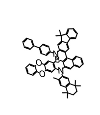 Cc1cc2c(cc1N1c3cc4c(cc3B3c5c1cc1ccccc1c5-c1cc5c(cc1N3c1ccc(-c3ccccc3)cc1)C(C)(C)c1ccccc1-5)Oc1ccccc1O4)C(C)(C)CCC2(C)C